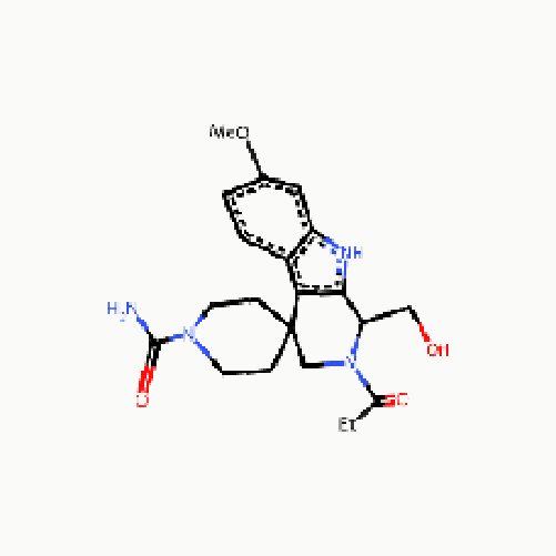 CCC(=O)N1CC2(CCN(C(N)=O)CC2)c2c([nH]c3cc(OC)ccc23)C1CO